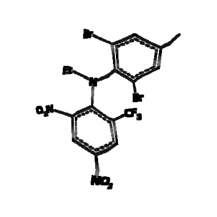 CCN(c1c(Br)cc(C)cc1Br)c1c([N+](=O)[O-])cc([N+](=O)[O-])cc1C(F)(F)F